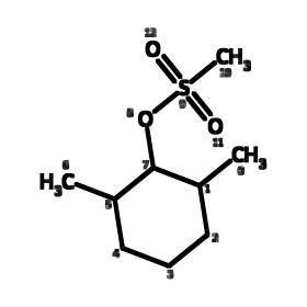 CC1CCCC(C)C1OS(C)(=O)=O